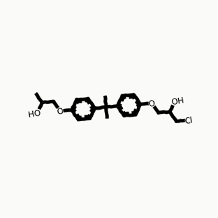 CC(O)COc1ccc(C(C)(C)c2ccc(OCC(O)CCl)cc2)cc1